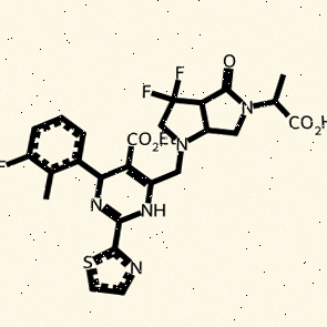 CCOC(=O)C1=C(CN2CC(F)(F)C3C(=O)N(C(C)C(=O)O)CC32)NC(c2nccs2)=NC1c1cccc(F)c1C